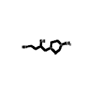 CN1CCN(CC(O)CCO)CC1